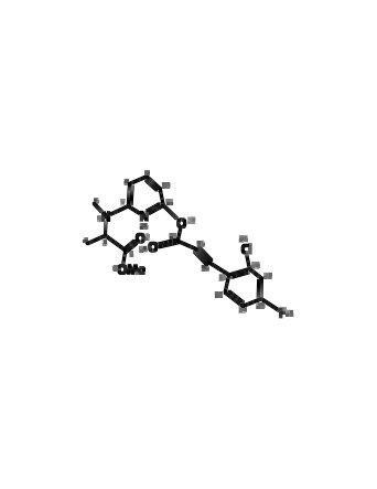 COC(=O)C(C)N(C)c1cccc(OC(=O)C#Cc2ccc(F)cc2Cl)n1